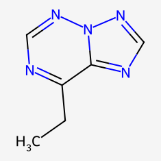 CCc1ncnn2ncnc12